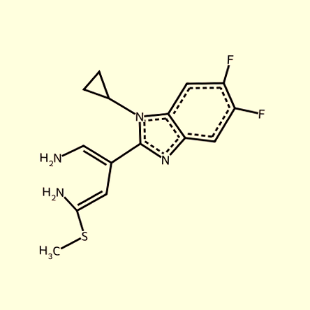 CS/C(N)=C/C(=C\N)c1nc2cc(F)c(F)cc2n1C1CC1